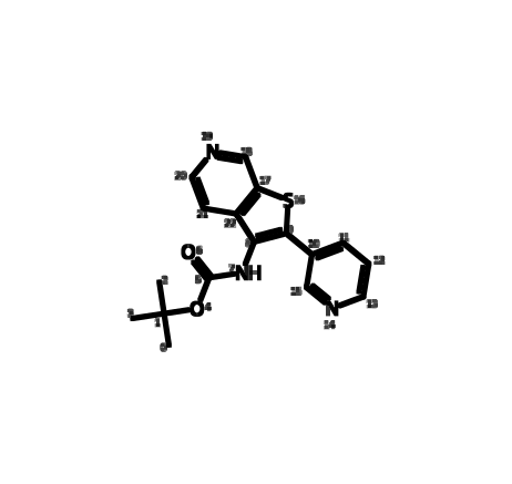 CC(C)(C)OC(=O)Nc1c(-c2cccnc2)sc2cnccc12